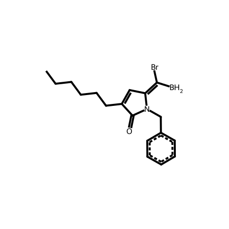 B/C(Br)=C1/C=C(CCCCCC)C(=O)N1Cc1ccccc1